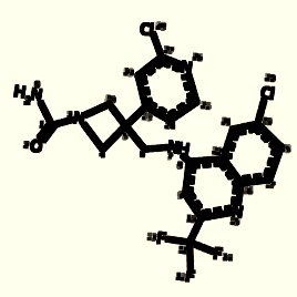 NC(=O)N1CC(CNc2cc(C(F)(F)F)nc3ccc(Cl)cc23)(c2ccnc(Cl)c2)C1